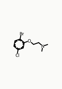 CN(C)CCOc1cc(Cl)ccc1Br